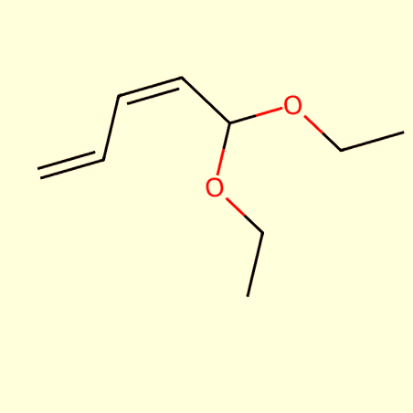 C=C/C=C\C(OCC)OCC